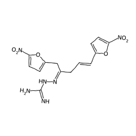 N=C(N)N/N=C(/C/C=C/c1ccc([N+](=O)[O-])o1)Cc1ccc([N+](=O)[O-])o1